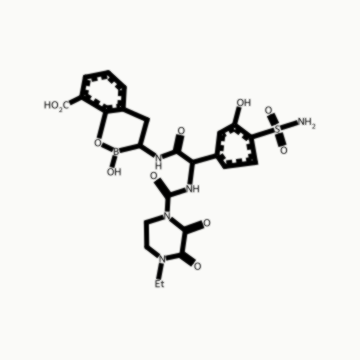 CCN1CCN(C(=O)NC(C(=O)NC2Cc3cccc(C(=O)O)c3OB2O)c2ccc(S(N)(=O)=O)c(O)c2)C(=O)C1=O